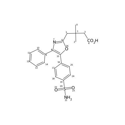 CC(C)(CC(=O)O)Cc1nc(-c2ccccc2)c(-c2ccc(S(N)(=O)=O)cc2)o1